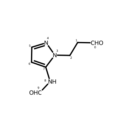 O=CCCn1nccc1NC=O